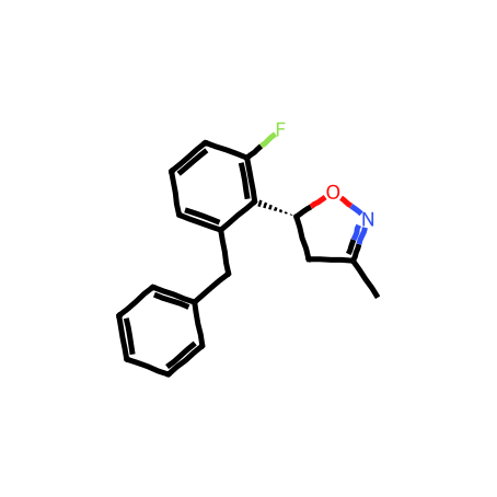 CC1=NO[C@@H](c2c(F)cccc2Cc2ccccc2)C1